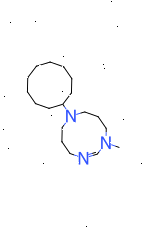 CN1C=NCCCN(C2CCCCCCCCC2)CCC1